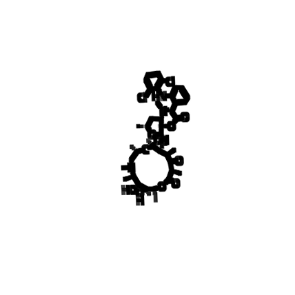 C[C@H]1CN(C)[C@H](C)[C@@H](O)[C@](C)(O)[C@@H](I)OC(=O)[C@H](C)C(=O)[C@H](C)[C@@H](O[C@@H]2O[C@H](C)C[C@H](N(C)C)[C@H]2OC(=O)Cc2ccccc2Nc2c(Cl)cccc2Cl)[C@](C)(O)C1